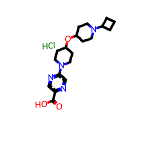 Cl.O=C(O)c1cnc(N2CCC(OC3CCN(C4CCC4)CC3)CC2)cn1